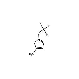 Cc1ncc(SC(F)(F)F)s1